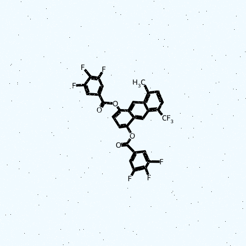 Cc1ccc(C(F)(F)F)c2cc3c(OC(=O)c4cc(F)c(F)c(F)c4)ccc(OC(=O)c4cc(F)c(F)c(F)c4)c3cc12